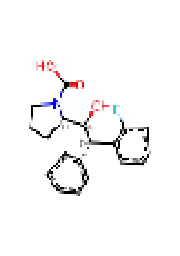 O=C(O)N1CCC[C@@H]1[C@@H](O)[C@@H](c1ccccc1)c1ccccc1F